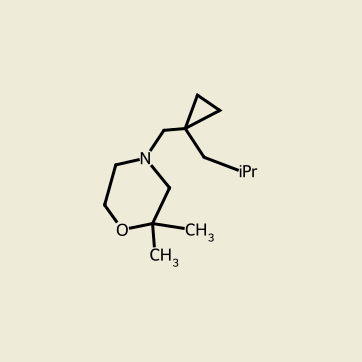 CC(C)CC1(CN2CCOC(C)(C)C2)CC1